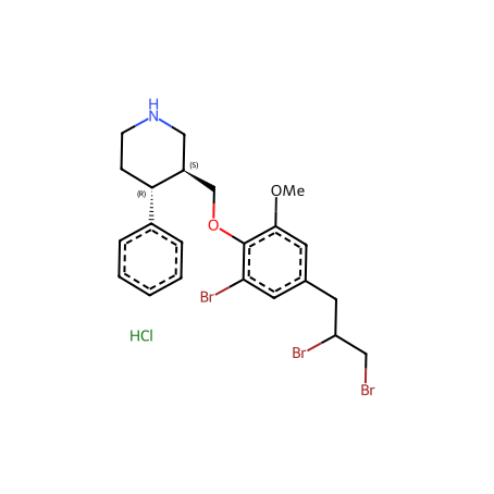 COc1cc(CC(Br)CBr)cc(Br)c1OC[C@@H]1CNCC[C@H]1c1ccccc1.Cl